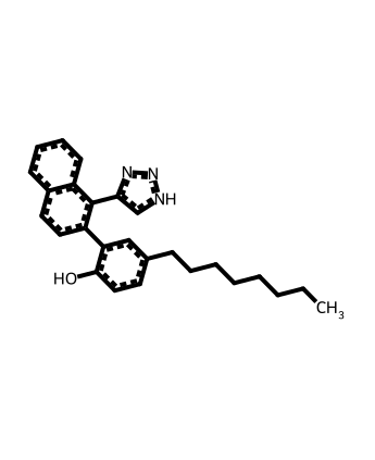 CCCCCCCCc1ccc(O)c(-c2ccc3ccccc3c2-c2c[nH]nn2)c1